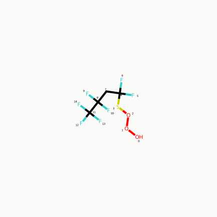 OOOSC(F)(F)CC(F)(F)C(F)(F)F